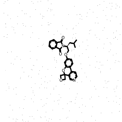 CC(C)C[C@@H](COc1ccc2c(c1)OC1(COC1)c1cnccc1-2)N1C(=O)c2ccccc2C1=O